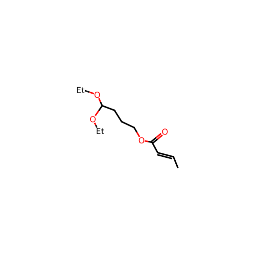 CC=CC(=O)OCCCC(OCC)OCC